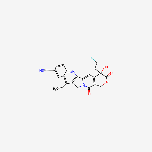 CCc1c2c(nc3ccc(C#N)cc13)-c1cc3c(c(=O)n1C2)COC(=O)C3(O)CCF